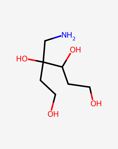 NCC(O)(CCO)C(O)CCO